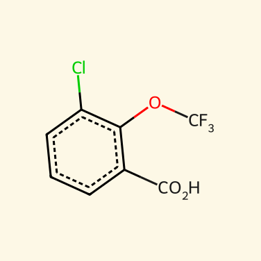 O=C(O)c1cccc(Cl)c1OC(F)(F)F